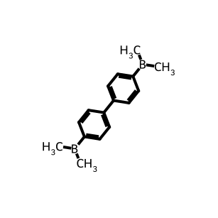 CB(C)c1ccc(-c2ccc(B(C)C)cc2)cc1